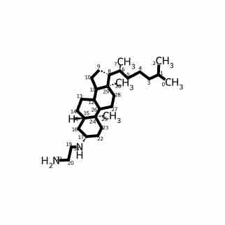 CC(C)CCC[C@@H](C)[C@H]1CCC2C3CC[C@H]4C[C@@H](NCCN)CC[C@]4(C)C3CC[C@@]21C